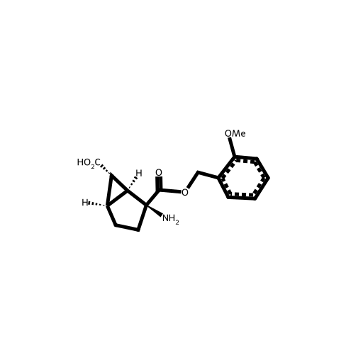 COc1ccccc1COC(=O)[C@]1(N)CC[C@H]2[C@H](C(=O)O)[C@H]21